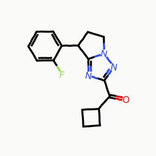 O=C(c1nc2n(n1)CCC2c1ccccc1F)C1CCC1